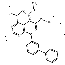 CON=C(C(=O)OC)c1c(Oc2cccc(-c3ccccc3)c2)ncnc1N(C)C